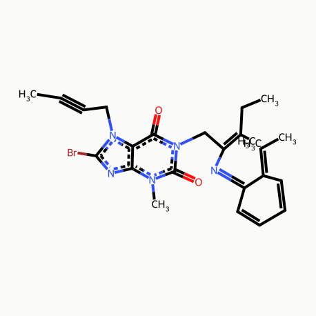 CC#CCn1c(Br)nc2c1c(=O)n(CC(/N=C1/C=CC=CC1=C(C)C)=C(/C)CC)c(=O)n2C